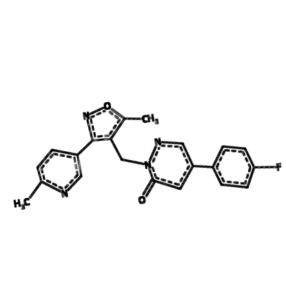 Cc1ccc(-c2noc(C)c2Cn2ncc(-c3ccc(F)cc3)cc2=O)cn1